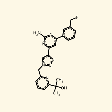 CC(C)(O)c1cccc(Cn2cc(-c3cc(-c4cccc(CF)c4)nc(N)n3)nn2)n1